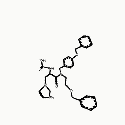 O=C(O)NC(CN1C=CNC1)C(=O)N(CCOCc1ccccc1)Cc1ccc(OCc2ccccc2)cc1